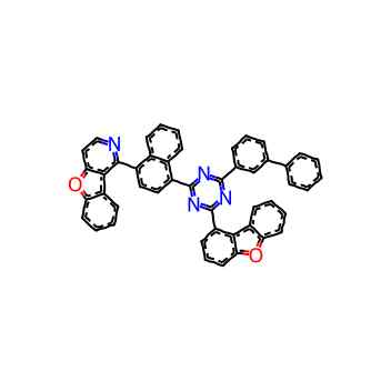 c1ccc(-c2cccc(-c3nc(-c4ccc(-c5nccc6oc7ccccc7c56)c5ccccc45)nc(-c4cccc5oc6ccccc6c45)n3)c2)cc1